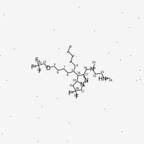 CCCCCC(CCCCOCC(F)(F)F)C1C(CN(C)CCNC)=NN2CC(F)(F)CC12